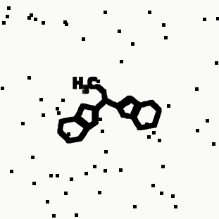 CCC(C1=CC2=C(CCCC2)C1)C1=CC2=C(CCCC2)C1